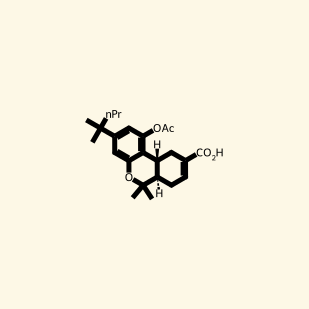 CCCC(C)(C)c1cc(OC(C)=O)c2c(c1)OC(C)(C)[C@@H]1CC=C(C(=O)O)C[C@@H]21